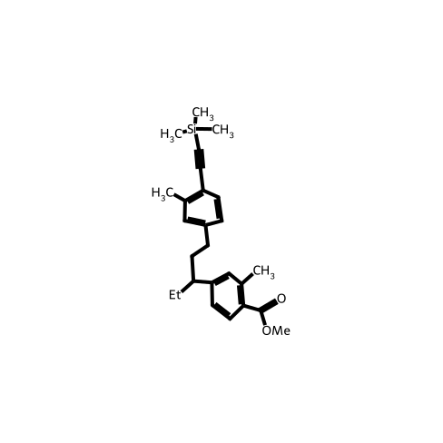 CCC(CCc1ccc(C#C[Si](C)(C)C)c(C)c1)c1ccc(C(=O)OC)c(C)c1